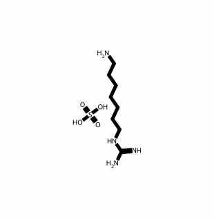 N=C(N)NCCCCCCCN.O=S(=O)(O)O